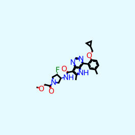 COCC(=O)N1C[C@H](NC(=O)c2c(C)[nH]c3c(-c4cc(C)ccc4OCC4CC4)ncnc23)[C@@H](F)C1